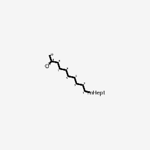 CCCCCCCCCCCCCCCC(C)[O]